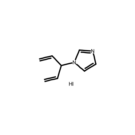 C=CC(C=C)n1ccnc1.I